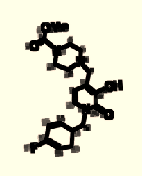 COC(=O)N1CCN(Cc2ccn(CC3C=CC(F)=CC3)c(=O)c2O)CC1